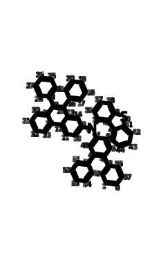 c1ccc(-c2ccc(N(c3ccc4c(c3)c(-c3ccccc3)c(-c3ccccc3)c3ccccc34)c3cccc4sc5ccccc5c34)cc2-c2ccccc2)cc1